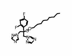 CCCCCCCCCOOC(Cn1cncn1)(Cn1cncn1)c1ccc(F)cc1F